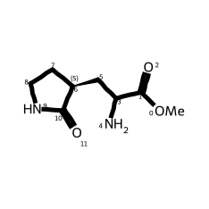 COC(=O)C(N)C[C@@H]1CCNC1=O